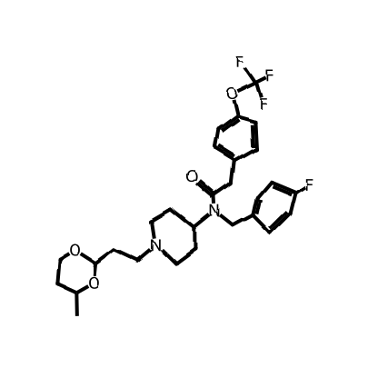 CC1CCOC(CCN2CCC(N(Cc3ccc(F)cc3)C(=O)Cc3ccc(OC(F)(F)F)cc3)CC2)O1